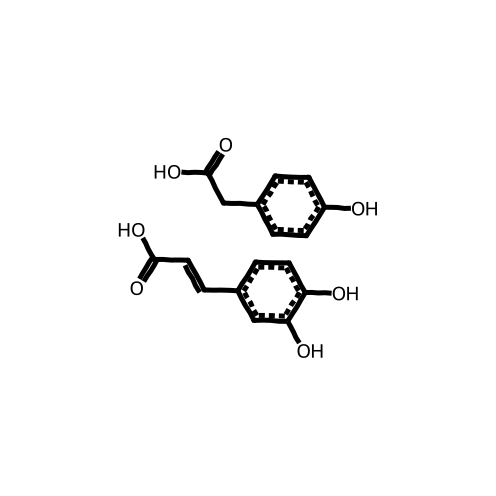 O=C(O)C=Cc1ccc(O)c(O)c1.O=C(O)Cc1ccc(O)cc1